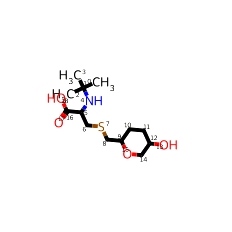 CC(C)(C)NC(CSCC1CCC(O)CO1)C(=O)O